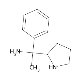 CC(N)(c1ccccc1)C1CCCN1